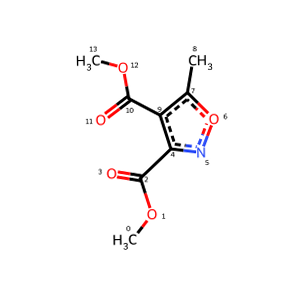 COC(=O)c1noc(C)c1C(=O)OC